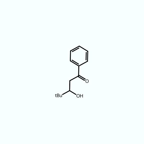 CC(C)(C)C(O)CC(=O)c1ccccc1